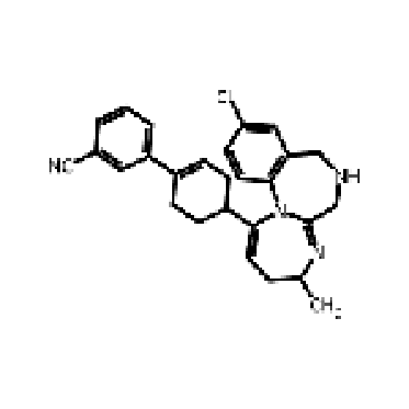 CC1CC=C(C2CC=C(c3cccc(C#N)c3)CC2)N2C(=N1)CNCc1cc(Cl)ccc12